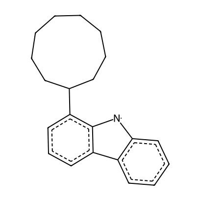 c1ccc2c(c1)[N]c1c-2cccc1C1CCCCCCCC1